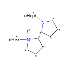 CCCCCCCN1CCCC1.CCCCCC[N+]1(C)CCCC1